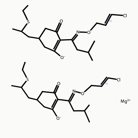 CCSC(C)CC1CC(=O)C(C(CC(C)C)=NOC/C=C/Cl)=C([O-])C1.CCSC(C)CC1CC(=O)C(C(CC(C)C)=NOC/C=C/Cl)=C([O-])C1.[Mg+2]